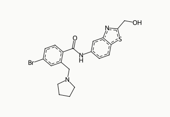 O=C(Nc1ccc2sc(CO)nc2c1)c1ccc(Br)cc1CN1CCCC1